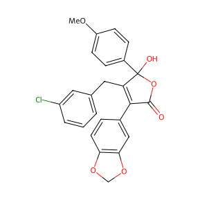 COc1ccc(C2(O)OC(=O)C(c3ccc4c(c3)OCO4)=C2Cc2cccc(Cl)c2)cc1